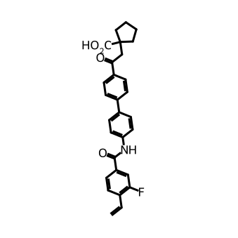 C=Cc1ccc(C(=O)Nc2ccc(-c3ccc(C(=O)CC4(C(=O)O)CCCC4)cc3)cc2)cc1F